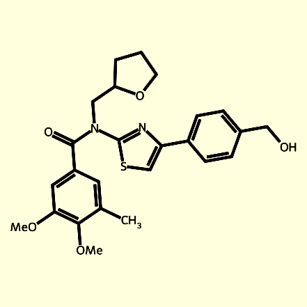 COc1cc(C(=O)N(CC2CCCO2)c2nc(-c3ccc(CO)cc3)cs2)cc(C)c1OC